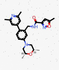 Cc1cc(-c2ccc(N3C[C@@H](C)O[C@@H](C)C3)cc2CNC(=O)c2cc(C)on2)cc(C)n1